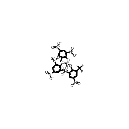 Cc1cc([N+](=O)[O-])cc([N+](=O)[O-])c1OP(=O)(Oc1c(C)cc([N+](=O)[O-])cc1[N+](=O)[O-])Oc1c([N+](=O)[O-])cc([N+](=O)[O-])cc1C(F)(F)F